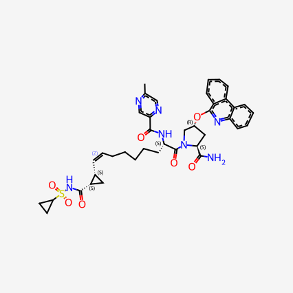 Cc1cnc(C(=O)N[C@@H](CCCCC/C=C\[C@@H]2C[C@@H]2C(=O)NS(=O)(=O)C2CC2)C(=O)N2C[C@H](Oc3nc4ccccc4c4ccccc34)C[C@H]2C(N)=O)cn1